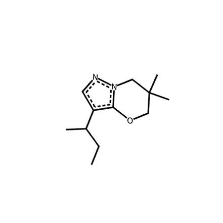 CCC(C)c1cnn2c1OCC(C)(C)C2